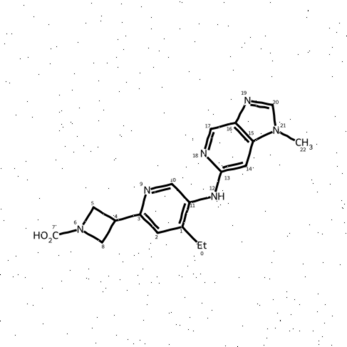 CCc1cc(C2CN(C(=O)O)C2)ncc1Nc1cc2c(cn1)ncn2C